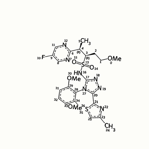 COCC[C@H]([C@H](C)c1ncc(F)cn1)S(=O)(=O)Nc1nnc(-c2nc(C)cs2)n1-c1c(OC)cccc1OC